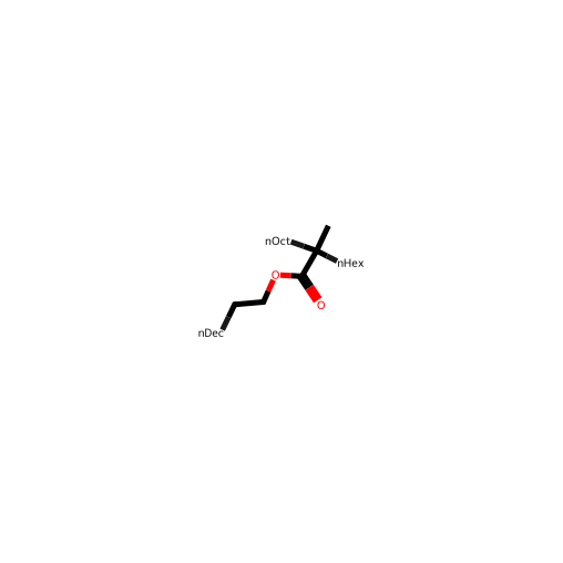 CCCCCCCCCCCCOC(=O)C(C)(CCCCCC)CCCCCCCC